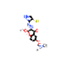 CCOc1oc2ccc(OCN(CC)CC)cc2c(=O)c1/N=N/c1n[nH]cc1S